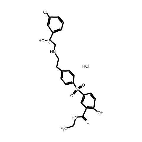 Cl.O=C(NCC(F)(F)F)c1cc(S(=O)(=O)c2ccc(CCNC[C@@H](O)c3cccc(Cl)c3)cc2)ccc1O